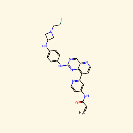 C=CC(=O)Nc1ccnc(-c2ccnc3cnc(Nc4ccc(NC5CN(CCF)C5)cc4)nc23)c1